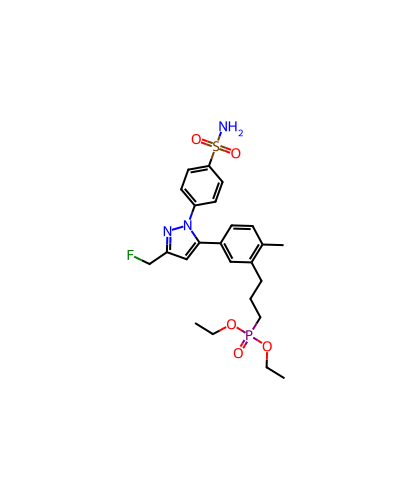 CCOP(=O)(CCCc1cc(-c2cc(CF)nn2-c2ccc(S(N)(=O)=O)cc2)ccc1C)OCC